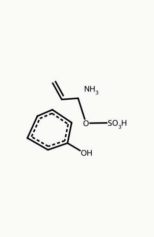 C=CCOS(=O)(=O)O.N.Oc1ccccc1